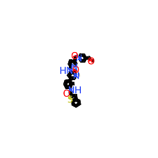 COCC1CCN(C(=O)c2ccc(Nc3cc(-c4cccc(NC(=O)c5cc6c(s5)CCCC6)c4C)cn(C)c3=O)nc2)CC1